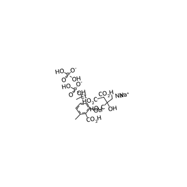 CCC.Cc1cccc(O)c1C(=O)O.O=C(O)CC(O)(CC(=O)O)C(=O)O.O=P([O-])(O)O.O=P([O-])(O)O.[Na+].[Na+]